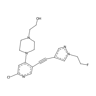 OCCN1CCN(c2cc(Cl)ncc2C#Cc2cnn(CCF)c2)CC1